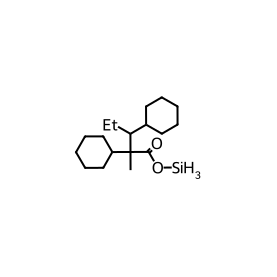 CCC(C1CCCCC1)C(C)(C(=O)O[SiH3])C1CCCCC1